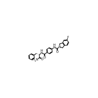 NC(=O)[C@H](Cc1ccccc1)NC(=O)c1ccc(NC(=O)N2Cc3ccc(F)cc3C2)cc1